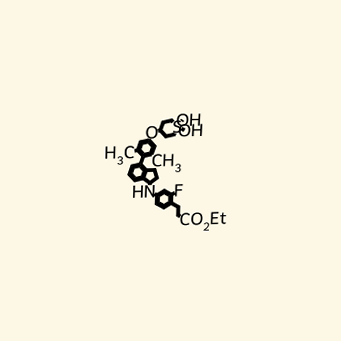 CCOC(=O)CCc1ccc(NC2CCc3c(-c4c(C)cc(OC5CCS(O)(O)CC5)cc4C)cccc32)cc1F